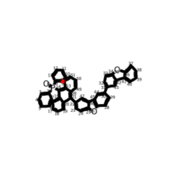 O=P(c1ccccc1)(c1ccccc1)c1c2ccccc2c(-c2ccc3oc4ccc(-c5ccc6oc7ccccc7c6c5)cc4c3c2)c2ccccc12